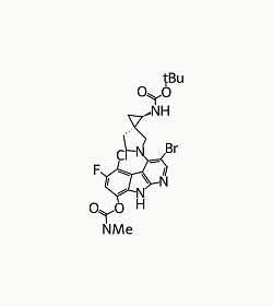 CNC(=O)Oc1cc(F)c(Cl)c2c1[nH]c1ncc(Br)c(N3CC[C@@]4(C[C@H]4NC(=O)OC(C)(C)C)C3)c12